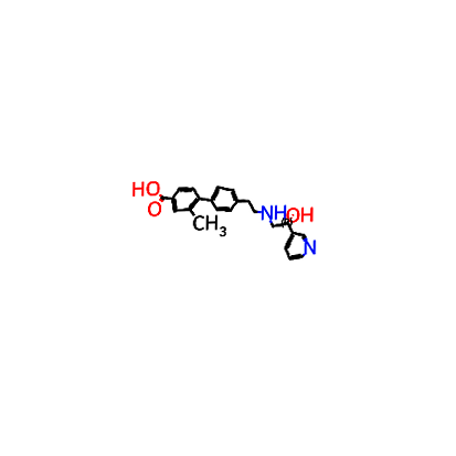 Cc1cc(C(=O)O)ccc1-c1ccc(CCNC[C@H](O)c2cccnc2)cc1